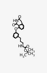 CC(C)(C)OC(=O)NCCCc1cccc(Oc2cccc3c2C(=O)NC(=O)C3)c1